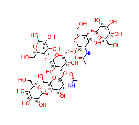 CC(=O)N[C@H]1[C@H](OC[C@H]2O[C@@H](O[C@H]3[C@H](O)[C@@H](O)C(O)O[C@@H]3CO)[C@H](O)[C@@H](O[C@@H]3O[C@H](CO)[C@@H](O[C@@H]4O[C@H](CO)[C@H](O)[C@H](O)[C@H]4O)[C@H](O)[C@H]3NC(C)=O)[C@H]2O)O[C@H](CO)[C@@H](O[C@@H]2O[C@H](CO)[C@H](O)[C@H](O)[C@H]2O)[C@@H]1O